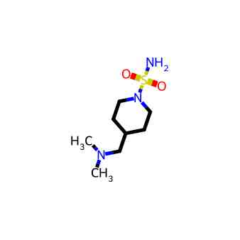 CN(C)CC1CCN(S(N)(=O)=O)CC1